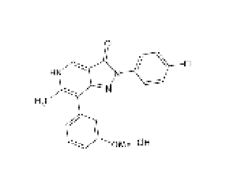 COc1cccc(-c2c3nn(-c4ccc(Cl)cc4)c(=O)c-3c[nH]c2C)c1.Cl